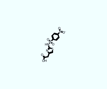 O=C(O)Cc1csc(NS(=O)(=O)c2ccc([N+](=O)[O-])cc2)n1